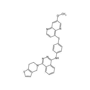 COc1cnc2c(Sc3ccc(Nc4nnc(N5CCc6sccc6C5)c5ccccc45)cc3)ccnc2c1